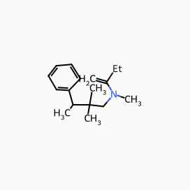 C=C(CC)N(C)CC(C)(C)C(C)c1ccccc1